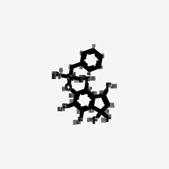 CC(C)[Si](Cc1ccccc1)(Oc1c(F)c(F)c2c(c1F)C(F)=[C]C2(F)F)C(C)C